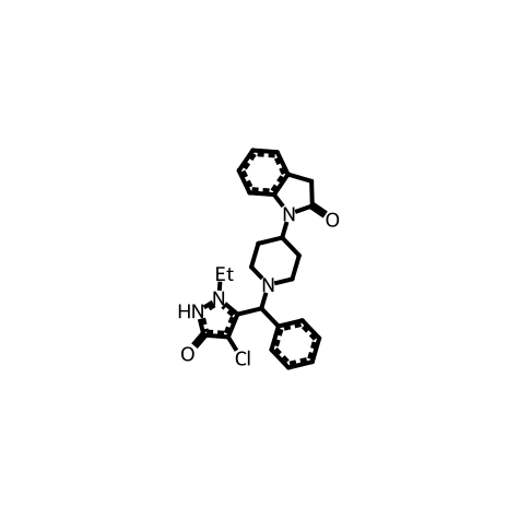 CCn1[nH]c(=O)c(Cl)c1C(c1ccccc1)N1CCC(N2C(=O)Cc3ccccc32)CC1